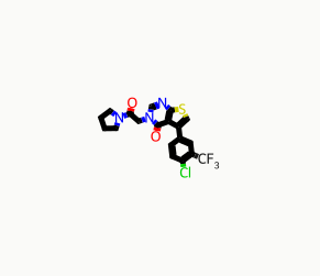 O=C(Cn1cnc2scc(-c3ccc(Cl)c(C(F)(F)F)c3)c2c1=O)N1CCCC1